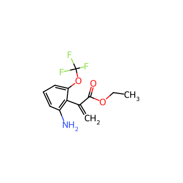 C=C(C(=O)OCC)c1c(N)cccc1OC(F)(F)F